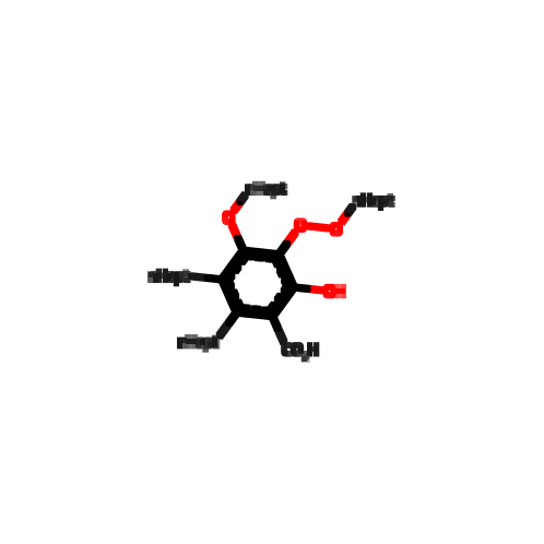 CCCCCCCOOc1c(O)c(C(=O)O)c(CCCCCCC)c(CCCCCCC)c1OCCCCCCC